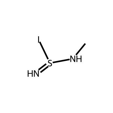 CNS(=N)I